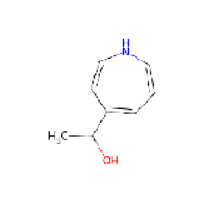 CC(O)C1=CC=CNC=C1